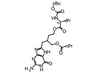 CCCCOC(=O)N[C@H](C(=O)OCCC(COC(=O)CCC)Cc1nc2nc(N)[nH]c(=O)c2[nH]1)C(C)C